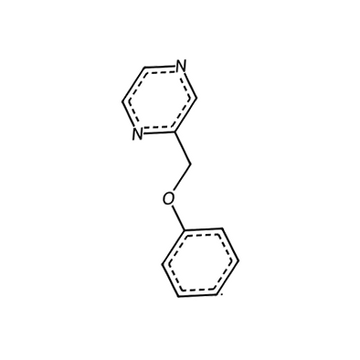 [c]1ccc(OCc2cnccn2)cc1